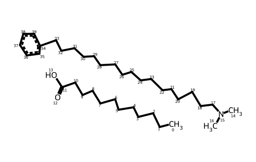 CCCCCCCCCCCC(=O)O.CN(C)CCCCCCCCCCCCCCCCCc1ccccc1